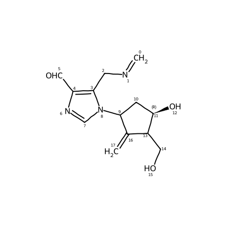 C=NCc1c(C=O)ncn1C1C[C@@H](O)C(CO)C1=C